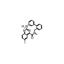 CN(Cc1ccccc1-c1cccnc1)C(=O)c1nc(N)nc2ccc(I)cc12